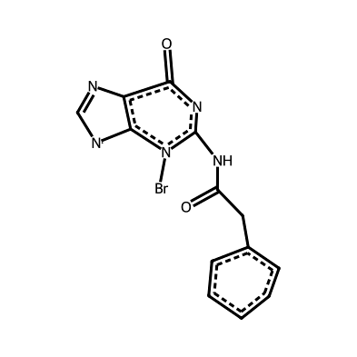 O=C(Cc1ccccc1)Nc1nc(=O)c2c(n1Br)[N]C=N2